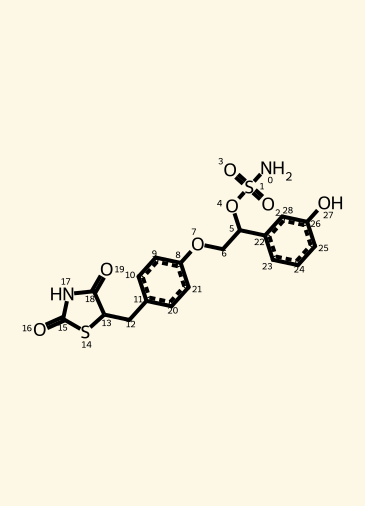 NS(=O)(=O)OC(COc1ccc(CC2SC(=O)NC2=O)cc1)c1cccc(O)c1